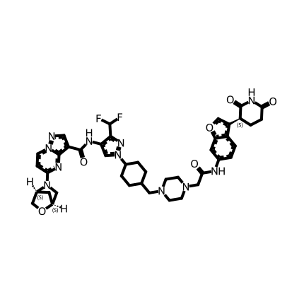 O=C1CC[C@@H](c2coc3cc(NC(=O)CN4CCN(CC5CCC(n6cc(NC(=O)c7cnn8ccc(N9C[C@@H]%10C[C@H]9CO%10)nc78)c(C(F)F)n6)CC5)CC4)ccc23)C(=O)N1